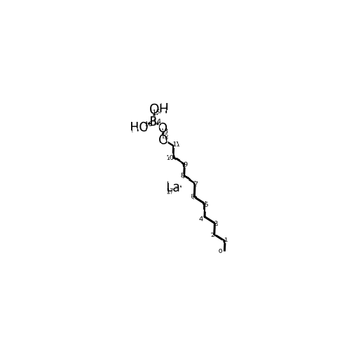 CCCCCCCCCCCCOOB(O)O.[La]